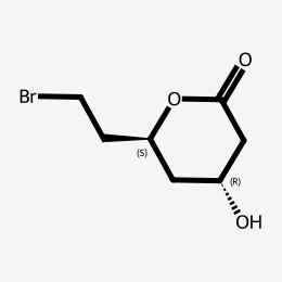 O=C1C[C@H](O)C[C@@H](CCBr)O1